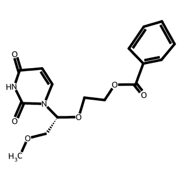 COC[C@@H](OCCOC(=O)c1ccccc1)n1ccc(=O)[nH]c1=O